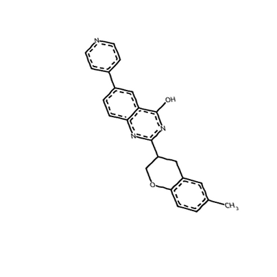 Cc1ccc2c(c1)CC(c1nc(O)c3cc(-c4ccncc4)ccc3n1)CO2